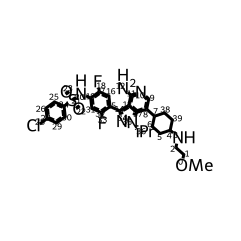 COCCNC1CCC(c2cnc(N)c3c(-c4cc(F)c(NS(=O)(=O)c5ccc(Cl)cc5)cc4F)nn(C(C)C)c23)CC1